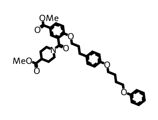 COC(=O)c1ccc(OCCCc2ccc(OCCCCOc3ccccc3)cc2)c(C(=O)N2CCC(C(=O)OC)CC2)c1